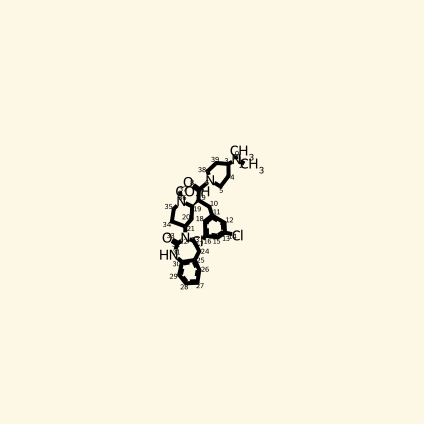 CN(C)C1CCN(C(=O)C(Cc2cc(Cl)cc(Cl)c2)[C@H]2CC(N3CCc4ccccc4NC3=O)CCN2C(=O)O)CC1